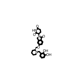 O=C1CCC(N2Cc3cc(OC[C@@H]4CCCCN4Cc4cccc(O)c4O)ccc3C2=O)C(=O)N1